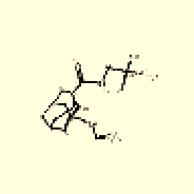 C=COC12CC3CC(C1)CC(C(=O)OCC(C)(F)F)(C3)C2